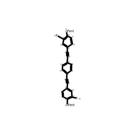 CCCCCc1ccc(C#Cc2ccc(C#Cc3ccc(CCCCC)c(F)c3)cc2)cc1F